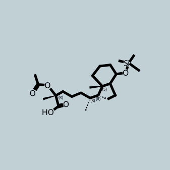 CC(=O)O[C@](C)(CCC[C@@H](C)[C@H]1CCC2C(O[Si](C)(C)C)CCC[C@]21C)C(=O)O